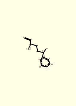 C=CC(Cl)CCC(C)c1ccccc1